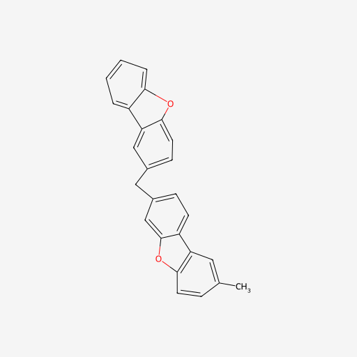 Cc1ccc2oc3cc(Cc4ccc5oc6ccccc6c5c4)ccc3c2c1